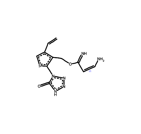 C=Cc1csc(-n2nn[nH]c2=O)c1COC(=N)/C=C\N